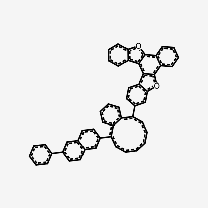 c1ccc(-c2ccc3cc(-c4ccccccc(-c5ccc6c(c5)oc5c7ccccc7c7oc8ccccc8c7c65)c5ccccc45)ccc3c2)cc1